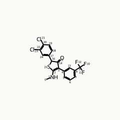 CNC1=C(c2cccc(C(F)(F)F)c2)C(=O)C(c2ccc(Cl)c(Cl)c2)S1